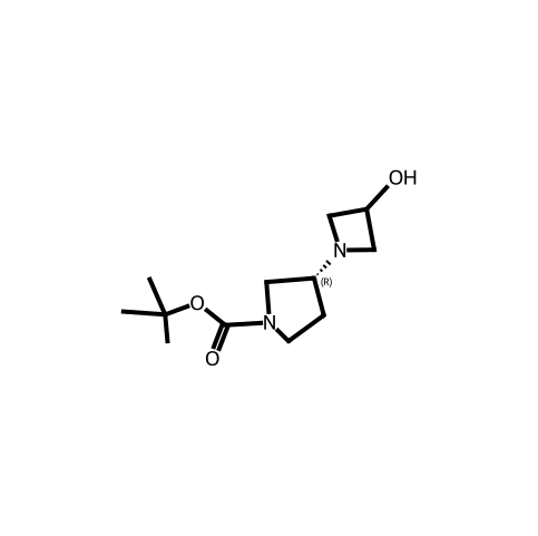 CC(C)(C)OC(=O)N1CC[C@@H](N2CC(O)C2)C1